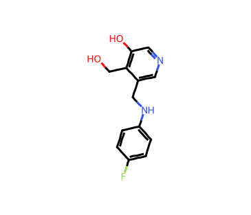 OCc1c(O)cncc1CNc1ccc(F)cc1